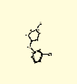 Clc1cccc(OC2CCN(Cl)CC2)c1